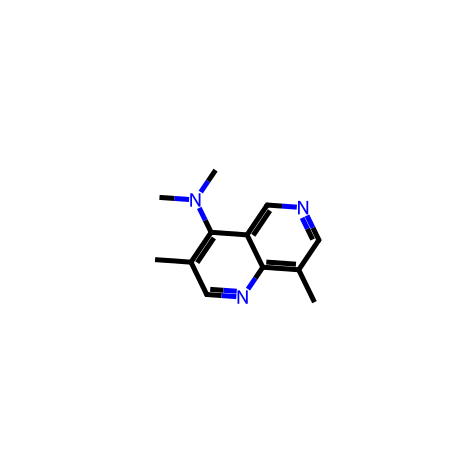 Cc1cnc2c(C)cncc2c1N(C)C